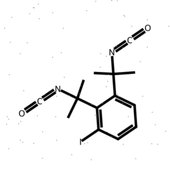 CC(C)(N=C=O)c1cccc(I)c1C(C)(C)N=C=O